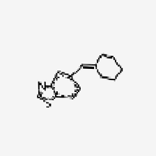 C1=C/C(=C/c2ccc3scnc3c2)CCC1